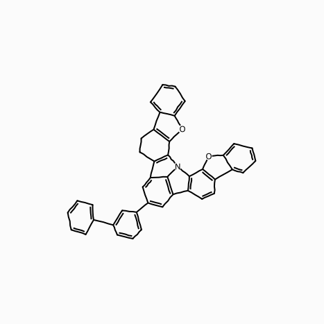 c1ccc(-c2cccc(-c3cc4c5c(n6c4c(c3)c3ccc4c7ccccc7oc4c36)-c3oc4ccccc4c3CC5)c2)cc1